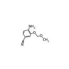 COCOc1cc(C#N)ccc1N